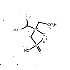 CCCC(OC)[N+]([O-])(CC(=O)O)CP(=O)(O)O